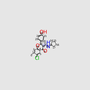 Cc1cc2c(cc1Cl)C(=O)/C(=C\NC1CCCC1)C(c1ccc(O)cc1)O2